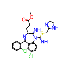 COC(=O)CC[C@@H]1N=C(c2ccccc2Cl)c2cc(Cl)ccc2N(C(=N)SCC2=NCCN2)C1=N